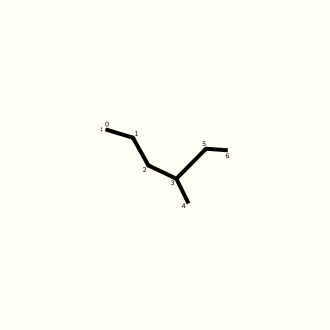 [CH]CCC(C)CC